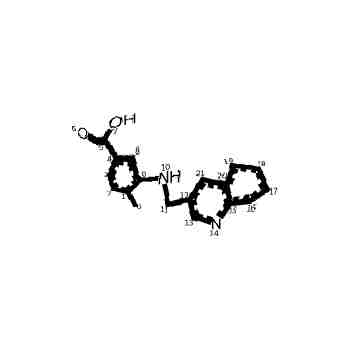 Cc1ccc(C(=O)O)cc1NCc1cnc2ccccc2c1